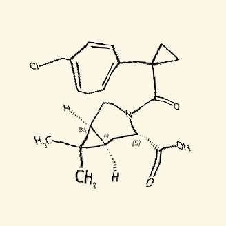 CC1(C)[C@@H]2[C@@H](C(=O)O)N(C(=O)C3(c4ccc(Cl)cc4)CC3)C[C@@H]21